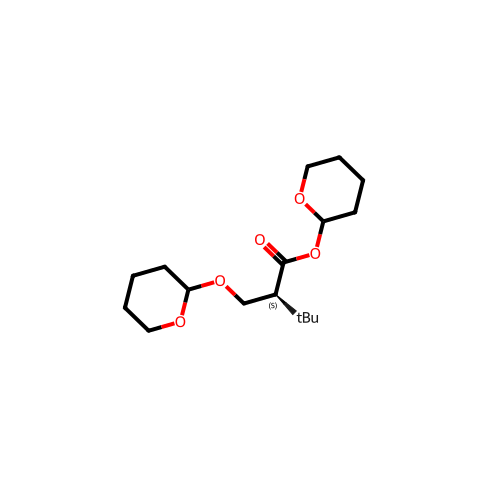 CC(C)(C)[C@@H](COC1CCCCO1)C(=O)OC1CCCCO1